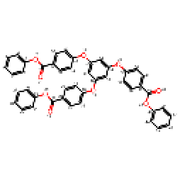 O=C(Oc1ccccc1)c1ccc(Oc2cc(Oc3ccc(C(=O)Oc4ccccc4)cc3)cc(Oc3ccc(C(=O)Oc4ccccc4)cc3)c2)cc1